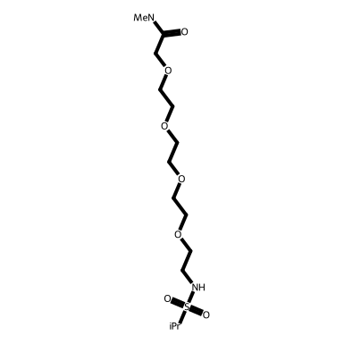 CNC(=O)COCCOCCOCCOCCNS(=O)(=O)C(C)C